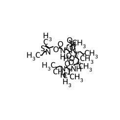 CCc1nc(COC(=O)N[C@@H](CS(C)(=O)=O)C(=O)N[C@@H](CC(C)C)[C@@H](O)C[C@@H](C)C(=O)N[C@H](C(=O)NCC(C)C)C(C)C)c(C)s1